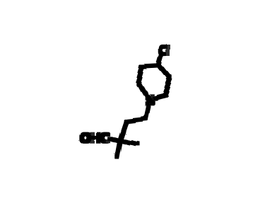 CC(C)(C=O)CCN1CCC(Cl)CC1